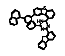 c1ccc(C2=NC(c3cccc4c3Cc3ccccc3-4)=NC(c3cccc4sc5ccc(-c6cccc(-c7cccc8ccccc78)c6)cc5c34)N2)cc1